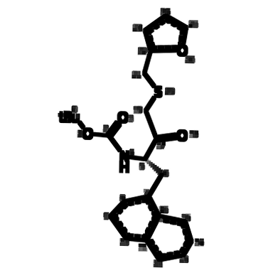 CC(C)(C)OC(=O)N[C@@H](Cc1cccc2ccccc12)C(=O)CSCc1ccco1